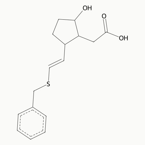 O=C(O)CC1C(O)CCC1C=CSCc1ccccc1